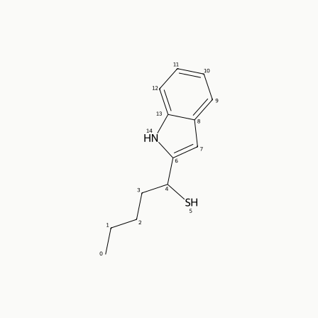 CCCCC(S)c1cc2ccccc2[nH]1